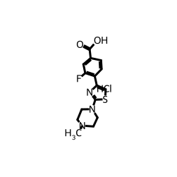 CN1CCN(c2nc(-c3ccc(C(=O)O)cc3F)cs2)CC1.Cl